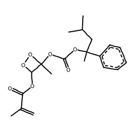 C=C(C)C(=O)OC1OOC1(C)OC(=O)OC(C)(CC(C)C)c1ccccc1